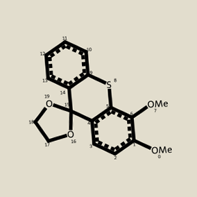 COc1ccc2c(c1OC)Sc1ccccc1C21OCCO1